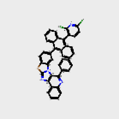 Fc1ccc(-c2c3ccccc3c(-c3ccc4sc5nc6c7ccccc7nc(-c7ccccc7)c6n5c4c3)c3ccccc23)c(F)n1